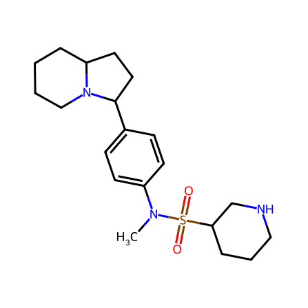 CN(c1ccc(C2CCC3CCCCN32)cc1)S(=O)(=O)C1CCCNC1